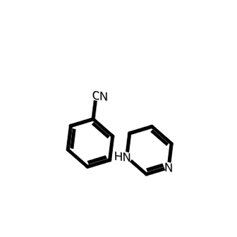 C1=CN=CNC1.N#Cc1ccccc1